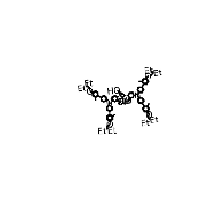 CCC(CC)COc1ccc(-c2ccc(N(c3ccc(-c4ccc(OCC(CC)CC)cc4C)cc3)c3ccc([C@@H]4C(O)[C@]5(c6ccc(N(c7ccc(-c8ccc(OCC(CC)CC)cc8C)cc7)c7ccc(-c8ccc(OCC(CC)CC)cc8C)cc7)cc6O)C(O)C45)c(O)c3)cc2)c(C)c1